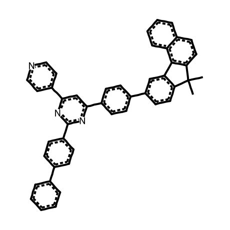 CC1(C)c2ccc(-c3ccc(-c4cc(-c5ccncc5)nc(-c5ccc(-c6ccccc6)cc5)n4)cc3)cc2-c2c1ccc1ccccc21